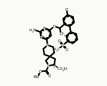 CCOC(=O)[C@@H]1CC2(CCN(c3cc(OC(c4cc(Cl)ccc4-c4cccc(S(C)(=O)=O)c4)C(F)(F)F)nc(N)n3)CC2)CN1C(=O)OC(C)(C)C